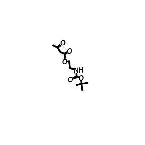 CC(=O)CC(=O)OCCNC(=O)OC(C)(C)C